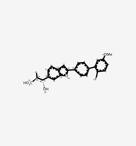 COc1ccc(F)c(-c2ccc(-c3cc4ccc([C@H](O)[C@H](C)C(=O)O)cc4o3)cc2)c1